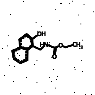 CCOC(=O)NCc1c(O)ccc2ccccc12